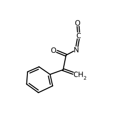 C=C(C(=O)N=C=O)c1ccccc1